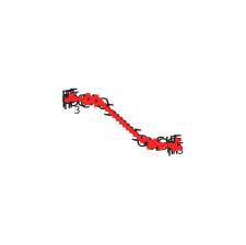 CC12CCC3c4ccc(OCCSSCCCCCCCCCCCCCCSSCCOc5ccc6c(c5)CCC5C6CCC6(C)C(OCCCOC(C(F)(F)F)(C(F)(F)F)C(F)(F)F)CCC56)cc4CCC3C1CCC2OCCCOC(C(F)(F)F)(C(F)(F)F)C(F)(F)F